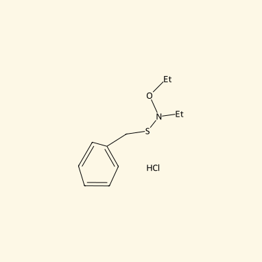 CCON(CC)SCc1ccccc1.Cl